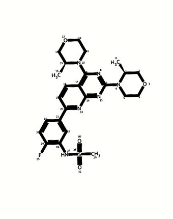 C[C@H]1COCCN1c1nc(N2CCOC[C@@H]2C)c2ccc(-c3ccc(F)c(NS(C)(=O)=O)c3)nc2n1